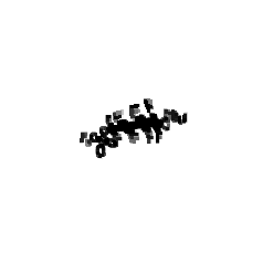 CCCCOC(F)(F)C(F)(F)C(F)(F)C(F)(F)OS(=O)(=O)C(F)(F)F